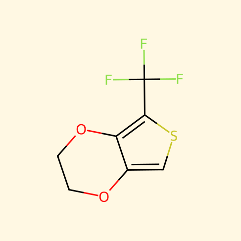 FC(F)(F)c1scc2c1OCCO2